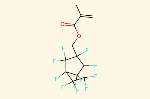 C=C(C)C(=O)OCC1(F)C(F)(F)C2(F)C(F)(F)C(F)(F)C1(F)C2(F)F